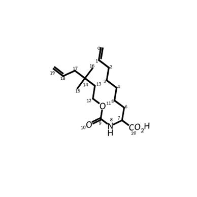 C=CCCCCCC(NC(=O)OCCC(C)(C)CC=C)C(=O)O